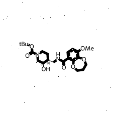 COc1ccc(C(=O)NC[C@H]2CCN(C(=O)OC(C)(C)C)C[C@H]2O)c2c1OCCCO2